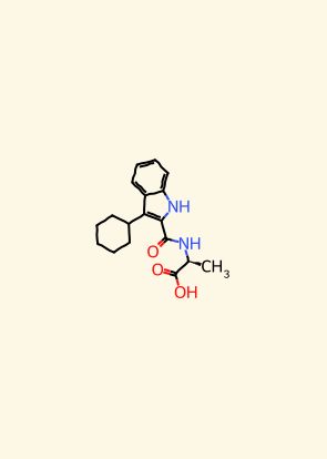 C[C@H](NC(=O)c1[nH]c2ccccc2c1C1CCCCC1)C(=O)O